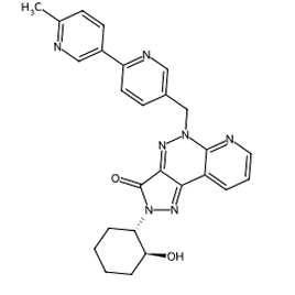 Cc1ccc(-c2ccc(Cn3nc4c(=O)n([C@H]5CCCC[C@@H]5O)nc-4c4cccnc43)cn2)cn1